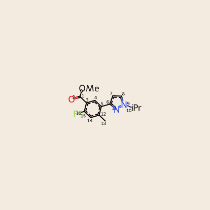 COC(=O)c1cc(-c2ccn(C(C)C)n2)c(C)cc1F